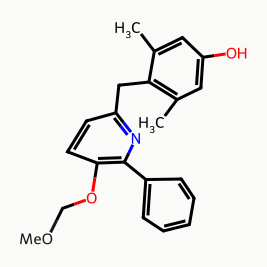 COCOc1ccc(Cc2c(C)cc(O)cc2C)nc1-c1ccccc1